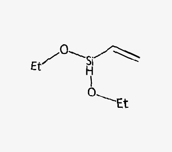 C=C[SiH](OCC)OCC